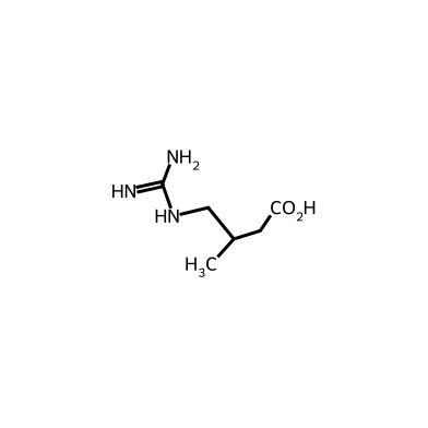 CC(CNC(=N)N)CC(=O)O